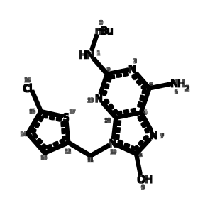 CCCCNc1nc(N)c2nc(O)n(Cc3ccc(Cl)s3)c2n1